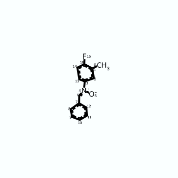 Cc1cc([N+]([O-])=Cc2ccccc2)ccc1F